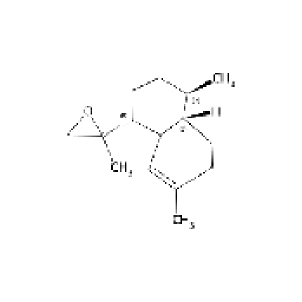 CC1=CC2[C@@H](CC1)[C@H](C)CC[C@H]2C1(C)CO1